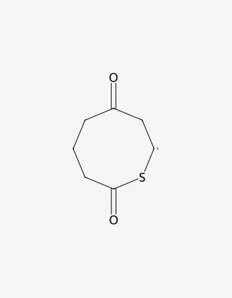 O=C1C[CH]SC(=O)CCC1